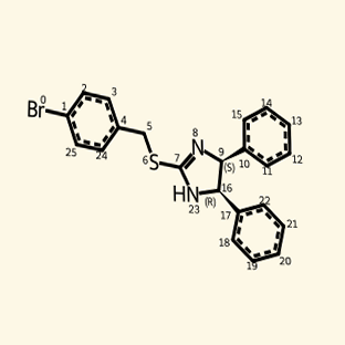 Brc1ccc(CSC2=N[C@@H](c3ccccc3)[C@@H](c3ccccc3)N2)cc1